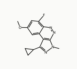 COc1cc(F)c2nnc3c(c(C4CC4)nn3C)c2c1